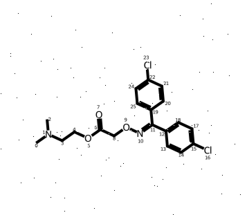 CN(C)CCOC(=O)CON=C(c1ccc(Cl)cc1)c1ccc(Cl)cc1